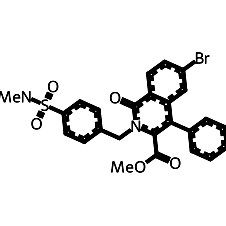 CNS(=O)(=O)c1ccc(Cn2c(C(=O)OC)c(-c3ccccc3)c3cc(Br)ccc3c2=O)cc1